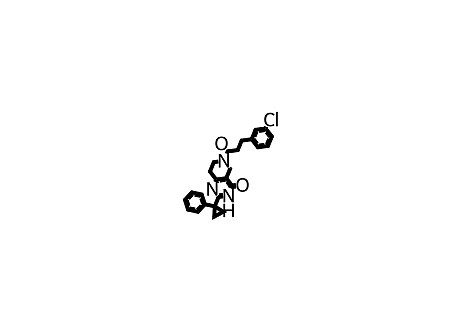 O=C(CCc1cccc(Cl)c1)N1CCc2nc(C3(c4ccccc4)CC3)[nH]c(=O)c2C1